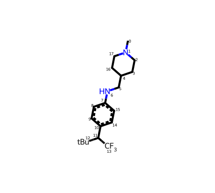 CN1CCC(CNc2ccc(C(C(C)(C)C)C(F)(F)F)cc2)CC1